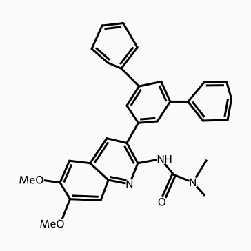 COc1cc2cc(-c3cc(-c4ccccc4)cc(-c4ccccc4)c3)c(NC(=O)N(C)C)nc2cc1OC